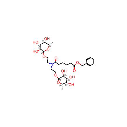 C[C@@H]1O[C@@H](OCCN(CCO[C@@H]2O[C@@H](C)[C@@H](O)[C@@H](O)[C@@H]2O)C(=O)CCCCC(=O)OCc2ccccc2)[C@@H](O)[C@H](O)[C@@H]1O